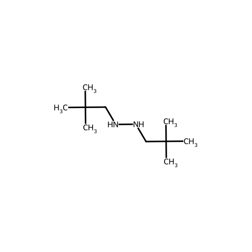 CC(C)(C)CNNCC(C)(C)C